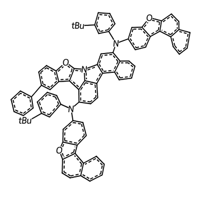 CC(C)(C)c1cccc(N(c2ccc3c(c2)oc2ccc4ccccc4c23)c2cc3c(c4ccccc24)c2ccc(N(c4cccc(C(C)(C)C)c4)c4ccc5c(c4)oc4ccc6ccccc6c45)c4c5c6cc(-c7ccccc7)ccc6oc5n3c24)c1